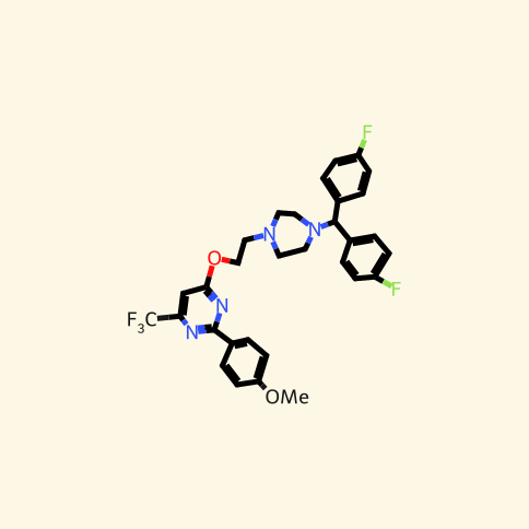 COc1ccc(-c2nc(OCCN3CCN(C(c4ccc(F)cc4)c4ccc(F)cc4)CC3)cc(C(F)(F)F)n2)cc1